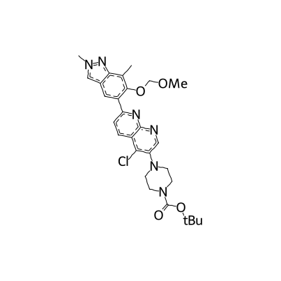 COCOc1c(-c2ccc3c(Cl)c(N4CCN(C(=O)OC(C)(C)C)CC4)cnc3n2)cc2cn(C)nc2c1C